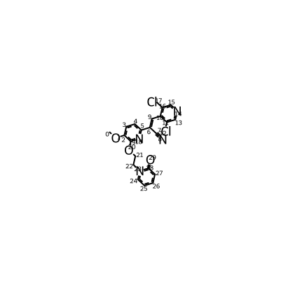 COc1ccc(/C(C#N)=C/c2c(Cl)cncc2Cl)nc1OCCn1ccccc1=O